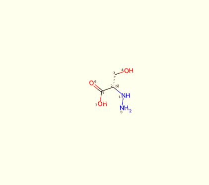 NN[C@@H](CO)C(=O)O